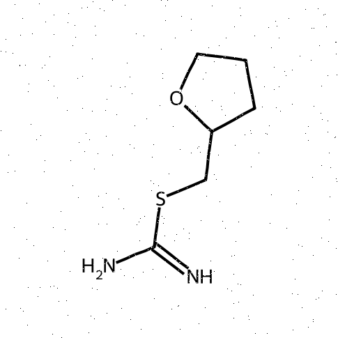 N=C(N)SCC1CCCO1